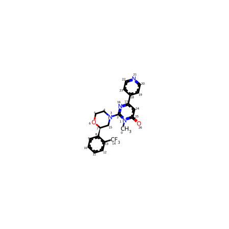 Cn1c(N2CCO[C@H](c3ccccc3C(F)(F)F)C2)nc(-c2ccncc2)cc1=O